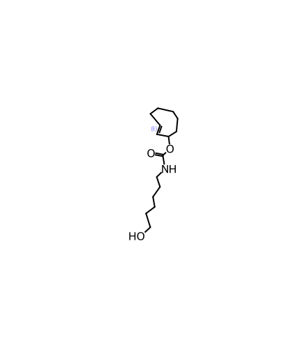 O=C(NCCCCCCO)OC1/C=C/CCCCC1